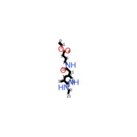 C=COC(=O)CCCNC(=O)CC(C)CC(C)C(=N)NCC